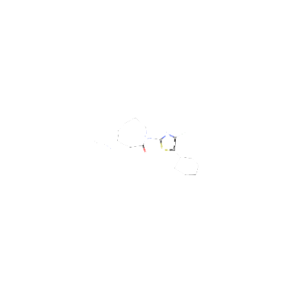 N#CN[C@@H]1CCCCN(c2nc(Cl)c(C3CCCCC3)s2)C(=O)C1